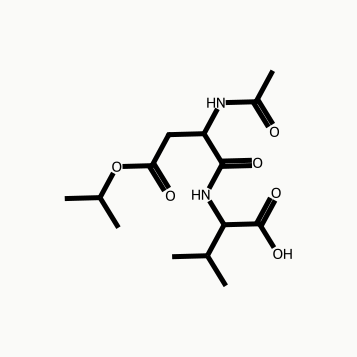 CC(=O)NC(CC(=O)OC(C)C)C(=O)NC(C(=O)O)C(C)C